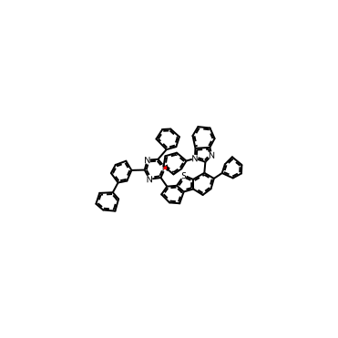 c1ccc(-c2cccc(-c3nc(-c4ccccc4)nc(-c4cccc5c4sc4c(-c6nc7ccccc7n6-c6ccccc6)c(-c6ccccc6)ccc45)n3)c2)cc1